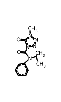 CC(C)N(C(=O)n1nnn(C)c1=O)c1ccccc1